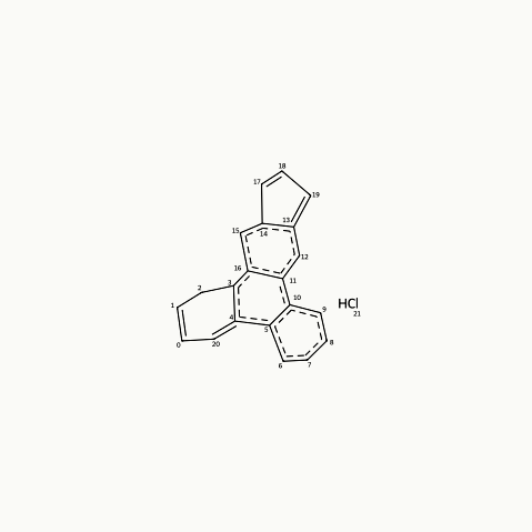 C1=CCc2c(c3ccccc3c3cc4c(cc23)C=CC=4)=C1.Cl